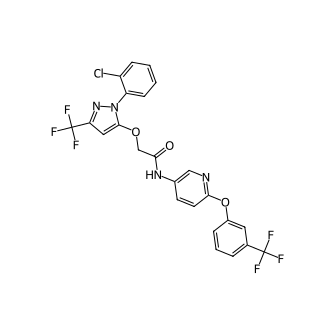 O=C(COc1cc(C(F)(F)F)nn1-c1ccccc1Cl)Nc1ccc(Oc2cccc(C(F)(F)F)c2)nc1